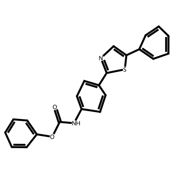 O=C(Nc1ccc(-c2ncc(-c3ccccc3)s2)cc1)Oc1ccccc1